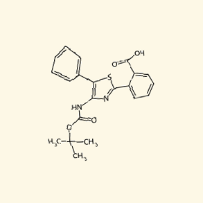 CC(C)(C)OC(=O)Nc1nc(-c2ccccc2C(=O)O)sc1-c1ccccc1